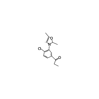 CCC(=O)c1ccc(Cl)c(N2[C]=C(C)OC2C)c1